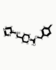 Cc1ccc(COC(=O)N2CCC(CNc3ccncn3)CC2)cc1